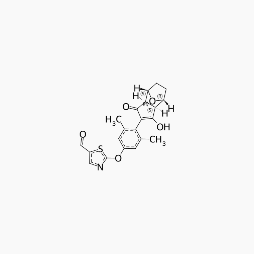 Cc1cc(Oc2ncc(C=O)s2)cc(C)c1C1=C(O)[C@H]2[C@@H](C1=O)[C@@H]1CC[C@H]2O1